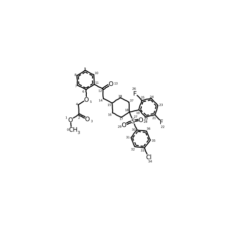 COC(=O)COc1ccccc1C(=O)CC1CCC(c2cc(F)ccc2F)(S(=O)(=O)c2ccc(Cl)cc2)CC1